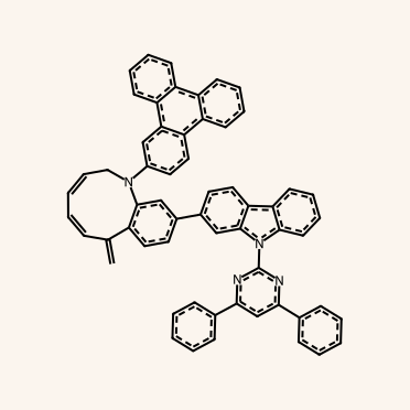 C=C1/C=C\C=C/CN(c2ccc3c4ccccc4c4ccccc4c3c2)c2cc(-c3ccc4c5ccccc5n(-c5nc(-c6ccccc6)cc(-c6ccccc6)n5)c4c3)ccc21